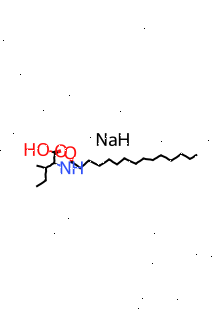 CCCCCCCCCCCCCCC(=O)N[C@H](C(=O)O)C(C)CC.[NaH]